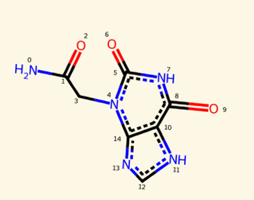 NC(=O)Cn1c(=O)[nH]c(=O)c2[nH]cnc21